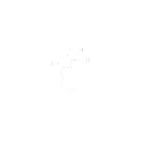 CC(CCCC(=O)O)OC(CC(=O)O)C(=O)O